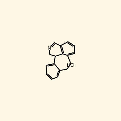 C1=NCC2c3ccccc3CCc3cccc1c32.Cl